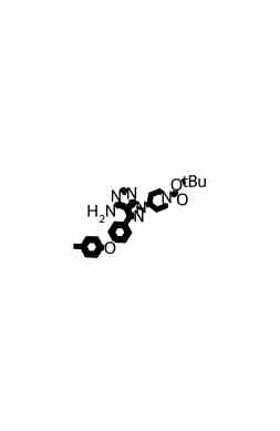 Cc1ccc(Oc2ccc(-c3nn(C4CCN(C(=O)OC(C)(C)C)CC4)c4ncnc(N)c34)cc2)cc1